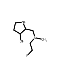 CN(CCF)CC1NCCC1O